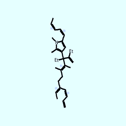 C=C/C=C\C(=C/C)CC/C(C)=C(\C)C(CC)(C(=C)CC)c1cc(/C=C\C=C/C)n(C)c1C